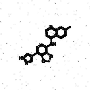 Cc1ccc2c(Nc3ccc(-c4cn[nH]c4)c4c3OCO4)ccnc2c1